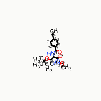 C#Cc1ccc(C(=O)NC(C(=O)NOC)[C@@H](C)OC(C)(C)C)cc1